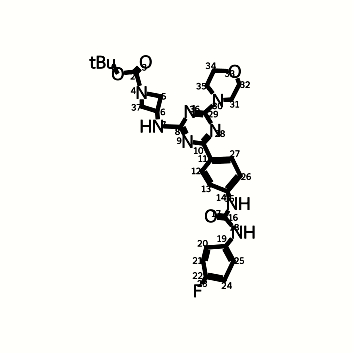 CC(C)(C)OC(=O)N1CC(Nc2nc(-c3ccc(NC(=O)Nc4ccc(F)cc4)cc3)nc(N3CCOCC3)n2)C1